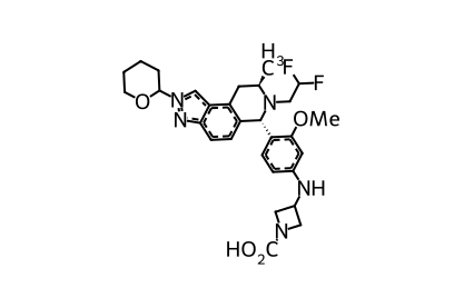 COc1cc(NC2CN(C(=O)O)C2)ccc1[C@@H]1c2ccc3nn(C4CCCCO4)cc3c2C[C@@H](C)N1CC(F)F